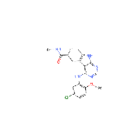 CC(C)NC(=O)[C@H]1CCc2[nH]c3ncnc(Nc4cc(Cl)ccc4OC(C)C)c3c2C1